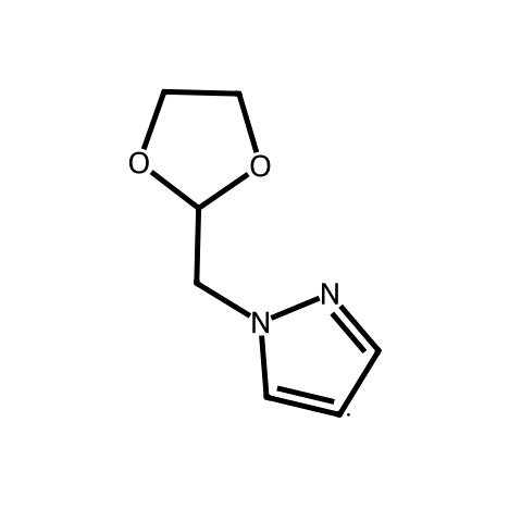 [c]1cnn(CC2OCCO2)c1